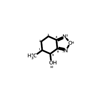 CC1CCc2nonc2C1O